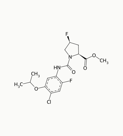 COC(=O)[C@@H]1C[C@H](F)CN1C(=O)Nc1cc(OC(C)C)c(Cl)cc1F